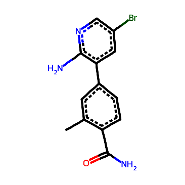 Cc1cc(-c2cc(Br)cnc2N)ccc1C(N)=O